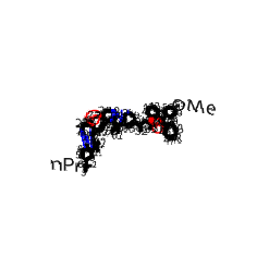 CCCC(C)(C)c1ccc2c(c1)C(C)(C)C1=C3C=C4C5=[N+](CCC4OC3CCN12)c1ccc(C(C)CC(C)(C)OC(c2ccccc2)(c2ccccc2)c2ccc(OC)cc2)cc1C5(C)C